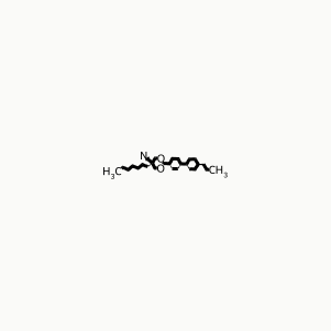 CCCCCCC[C@]1(C#N)CO[C@H]([C@H]2CC[C@@H]([C@H]3CC[C@H](CCC)CC3)CC2)OC1